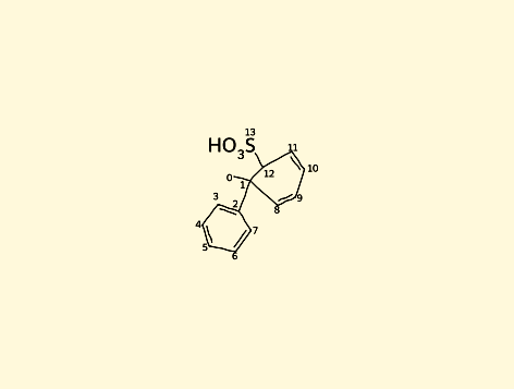 CC1(c2ccccc2)C=CC=CC1S(=O)(=O)O